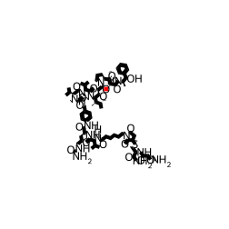 CC[C@H](C)[C@@H]([C@@H](CC(=O)N1CCC[C@H]1[C@H](OC)[C@@H](C)C(=O)N[C@H](C)[C@@H](O)c1ccccc1)OC)N(C)C(=O)[C@H](NC(=O)[C@H](C(C)C)N(C)C(=O)OCc1ccc(NC(=O)[C@H](CCCNC(N)=O)NC(=O)[C@@H](NC(=O)CCCCCN2C(=O)CC(SCC(NC(=O)CON)C(N)=O)C2=O)C(C)C)cc1)C(C)C